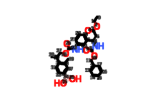 CCOC(=O)C[C@@H](NC(=O)OCc1ccccc1)c1cccc(NC(=O)OC[C@H](C)c2ccc(B(O)O)cc2C)c1